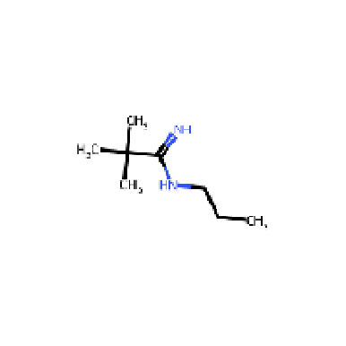 CCCNC(=N)C(C)(C)C